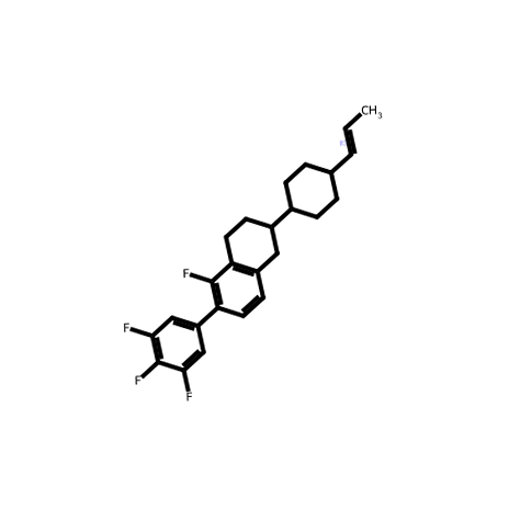 C/C=C/C1CCC(C2CCc3c(ccc(-c4cc(F)c(F)c(F)c4)c3F)C2)CC1